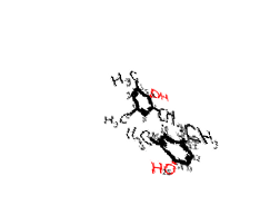 Cc1cc(C)c(O)c(C)c1.Cc1ccc(O)c(C)c1